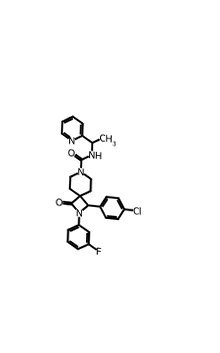 CC(NC(=O)N1CCC2(CC1)C(=O)N(c1cccc(F)c1)C2c1ccc(Cl)cc1)c1ccccn1